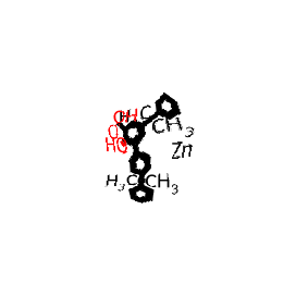 CC(C)(c1ccccc1)c1ccc(-c2cc(C(C)(C)c3ccccc3)cc(C(=O)O)c2O)cc1.[Zn]